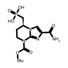 CC(C)(C)OC(=O)N1CC[C@@H](CP(=O)(O)O)n2cc(C(N)=O)nc21